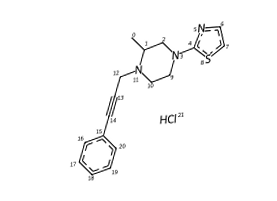 CC1CN(c2nccs2)CCN1CC#Cc1ccccc1.Cl